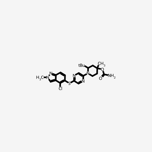 Cn1cc2c(Cl)c(Sc3cnc(N4CCC(C)(OC(N)=O)CC4C(C)(C)C)cn3)ccc2n1